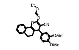 CCO/C=N/C1=C(C#N)C(c2ccc(OC)c(OC)c2)C2=C(O1)c1ccccc1CC2